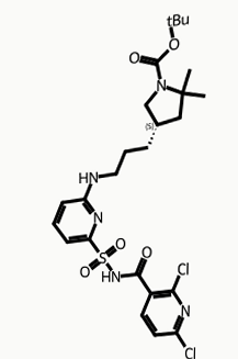 CC(C)(C)OC(=O)N1C[C@@H](CCCNc2cccc(S(=O)(=O)NC(=O)c3ccc(Cl)nc3Cl)n2)CC1(C)C